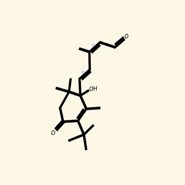 CC1=C(C(C)(C)C)C(=O)CC(C)(C)C1(O)/C=C/C(C)=C\C=O